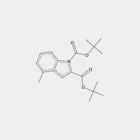 Cc1cccc2c1cc(C(=O)OC(C)(C)C)n2C(=O)OC(C)(C)C